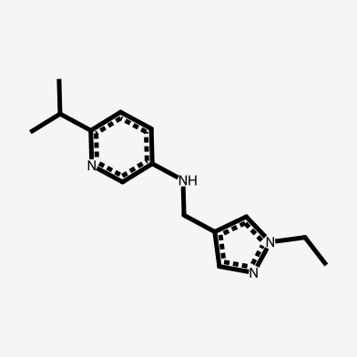 CCn1cc(CNc2ccc(C(C)C)nc2)cn1